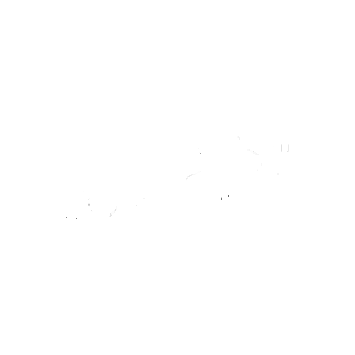 CC(C)=CCC(C)[C@H](O)C=C[C@@H]1[C@@H](CCCC/C=C/C(=O)O)[C@H](F)C[C@H]1O